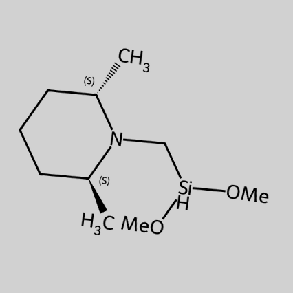 CO[SiH](CN1[C@@H](C)CCC[C@@H]1C)OC